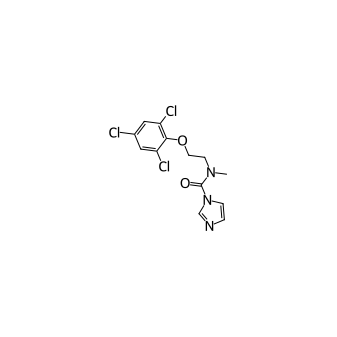 CN(CCOc1c(Cl)cc(Cl)cc1Cl)C(=O)n1ccnc1